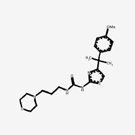 COc1ccc(C(C)(C)c2csc(NC(=O)NCCCN3CCOCC3)n2)cc1